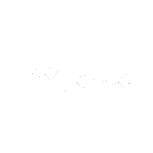 CCOC(Cc1ccc(OCCN(CCCCOCc2cc(Cl)cc(Cl)c2)C(=O)OC(C)C)cc1)C(=O)O